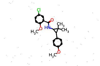 COc1ccc(C2C(NC(=O)c3cc(Cl)ccc3OC)C2(C)C)cc1